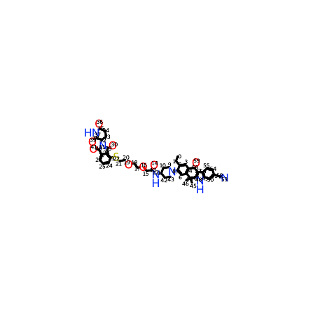 CCc1cc2c(cc1N1CCC(NC(=O)COCCOCCSc3cccc4c3C(=O)N(C3CCC(=O)NC3=O)C4=O)CC1)C(C)(C)c1[nH]c3cc(C#N)ccc3c1C2=O